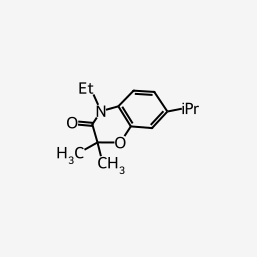 CCN1C(=O)C(C)(C)Oc2cc(C(C)C)ccc21